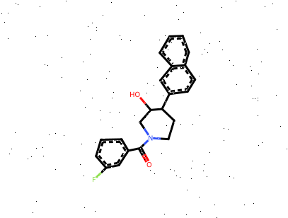 O=C(c1cccc(F)c1)N1CCC(c2ccc3ccccc3c2)C(O)C1